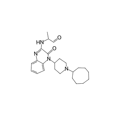 CC(C=O)Nc1nc2ccccc2n(C2CCN(C3CCCCCCC3)CC2)c1=O